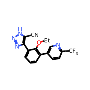 CCOc1c(-c2ccc(C(F)(F)F)nc2)cccc1-c1nn[nH]c1C#N